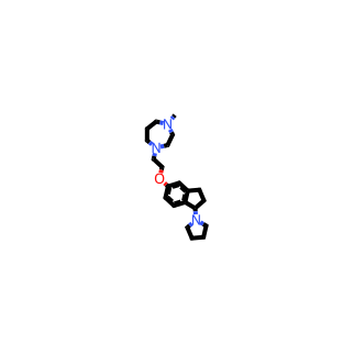 CN1CCCN(CCOc2ccc3c(c2)CCC3N2CCCC2)CC1